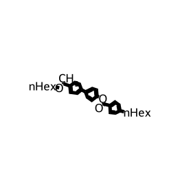 CCCCCCOC(C)c1ccc(-c2ccc(OC(=O)c3ccc(CCCCCC)cc3)cc2)cc1